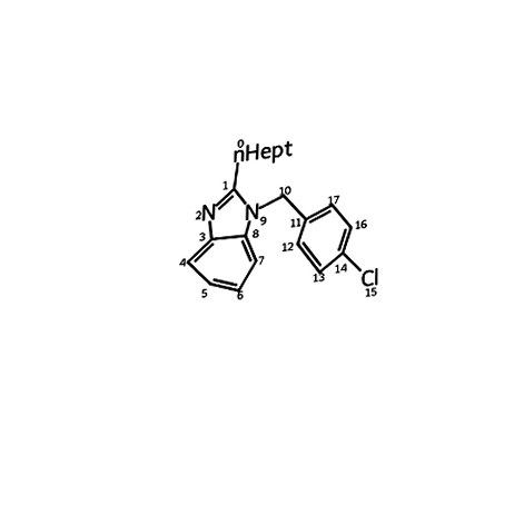 CCCCCCCc1nc2ccccc2n1Cc1ccc(Cl)cc1